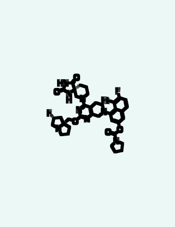 CCc1c(F)ccc2cc(OC(=O)N3CCCC3)cc(N3CCc4c(nc(OC[C@@]56CCCN5C[C@H](F)C6)nc4N4CCC[C@]5(C4)NC(=O)NC5=O)C3)c12